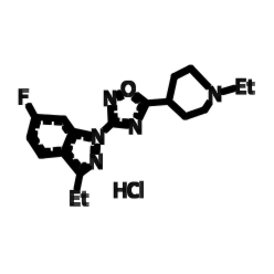 CCc1nn(-c2noc(C3CCN(CC)CC3)n2)c2cc(F)ccc12.Cl